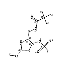 CO[C@H]1C[C@@H](OS(C)(=O)=O)[C@@H](COC(=O)C(C)(C)C)O1